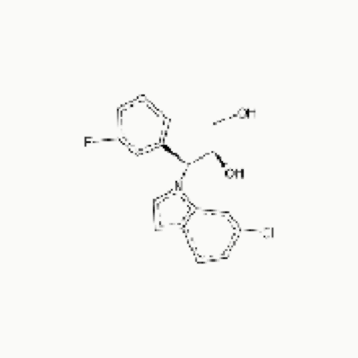 OC[C@@H](O)[C@H](c1cccc(F)c1)n1ccc2ccc(Cl)cc21